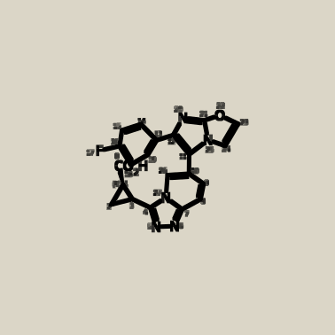 O=C(O)[C@@H]1CC1c1nnc2ccc(-c3c(-c4ccc(F)cc4)nc4occn34)cn12